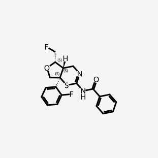 O=C(NC1=NC[C@H]2[C@@H](CF)OC[C@]2(c2ccccc2F)S1)c1ccccc1